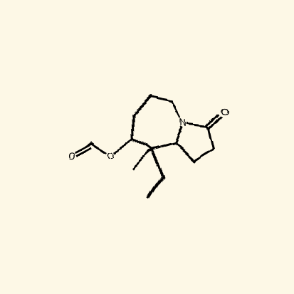 CCC1(C)C(OC=O)CCCN2C(=O)CCC21